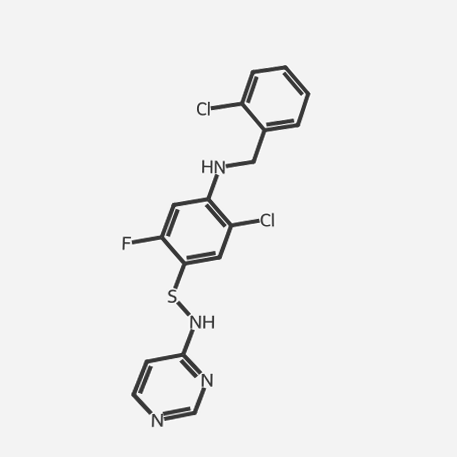 Fc1cc(NCc2ccccc2Cl)c(Cl)cc1SNc1ccncn1